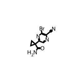 N#Cc1ncc(C2(C(N)=O)CC2)nc1Br